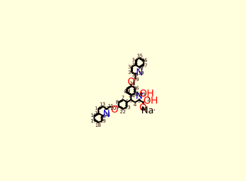 O=C(O)C(CC(c1ccc(OCc2ccc3ccccc3n2)cc1)c1ccc(OCc2ccc3ccccc3n2)cc1)=NO.[Na]